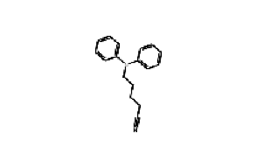 N#CCCCCN(c1ccccc1)c1ccccc1